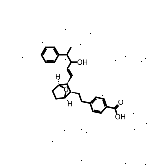 CC(c1ccccc1)C(O)/C=C/[C@H]1[C@@H](CCc2ccc(C(=O)O)cc2)[C@H]2CC[C@@H]1O2